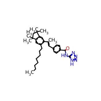 CCCCCCCCc1cc2c(cc1C(C)=Cc1ccc(C(=O)Nc3nnn[nH]3)cc1)C(C)(C)CC2(C)C